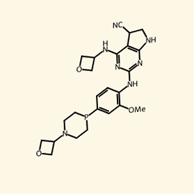 COc1cc(P2CCN(C3COC3)CC2)ccc1Nc1nc2c(c(NC3COC3)n1)C(C#N)CN2